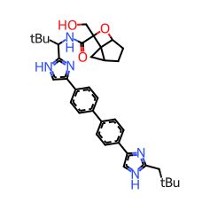 CC(C)(C)Cc1nc(-c2ccc(-c3ccc(-c4c[nH]c(C(NC(=O)C5(CO)OC6CCC7CC765)C(C)(C)C)n4)cc3)cc2)c[nH]1